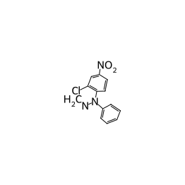 C=NN(c1ccccc1)c1ccc([N+](=O)[O-])cc1Cl